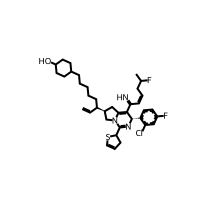 C=CC(CCCCCC1CCC(O)CC1)[C@H]1CC2=C(C(=N)/C=C\CC(C)F)[C@H](c3ccc(F)cc3Cl)N=C(C3CC=CS3)N2C1